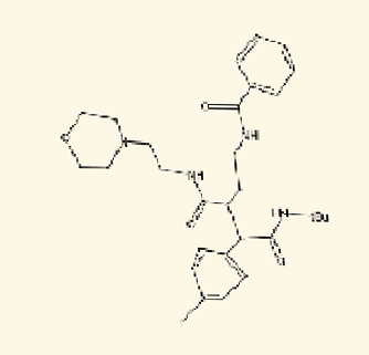 CC(C)(C)NC(=O)C(c1ccc(I)cc1)C(CCNC(=O)c1ccccc1)C(=O)NCCN1CCOCC1